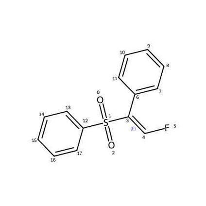 O=S(=O)(/C(=C/F)c1ccccc1)c1ccccc1